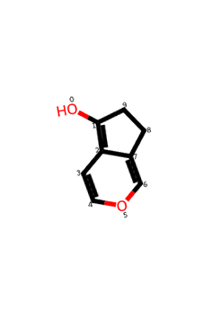 OC1=C2C=COC=C2CC1